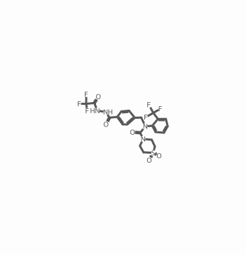 O=C(NNC(=O)C(F)(F)F)c1ccc(CN(C(=O)N2CCS(=O)(=O)CC2)c2ccccc2C(F)(F)F)cc1